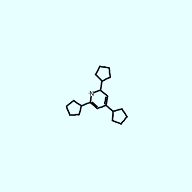 C1=C(C2CCCC2)C=C(C2CCCC2)[N]C1C1CCCC1